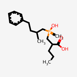 C=P(O)(CC(C)CCc1ccccc1)CC(CCC)C(=O)O